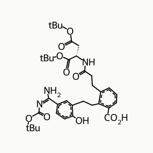 CC(C)(C)OC(=O)C[C@H](NC(=O)CCc1cccc(C(=O)O)c1CCc1cc(/C(N)=N\C(=O)OC(C)(C)C)ccc1O)C(=O)OC(C)(C)C